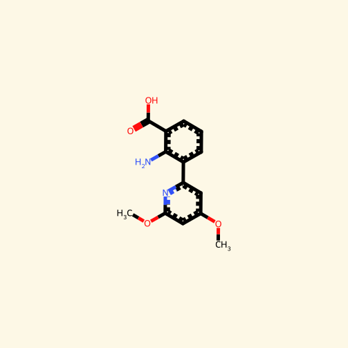 COc1cc(OC)nc(-c2cccc(C(=O)O)c2N)c1